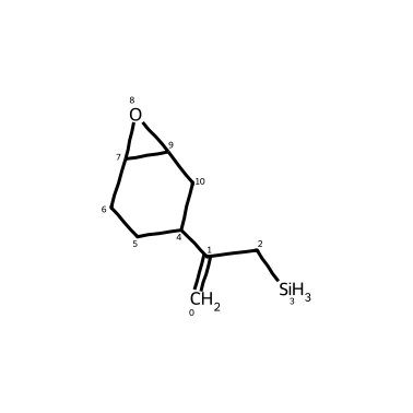 C=C(C[SiH3])C1CCC2OC2C1